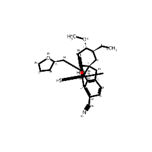 CC[C@H]1C[C@@]2(CC[C@@H]1OC)Cc1ccc(C#N)cc1[C@]21NC(=S)N(C[C@H]2CCCO2)C1=O